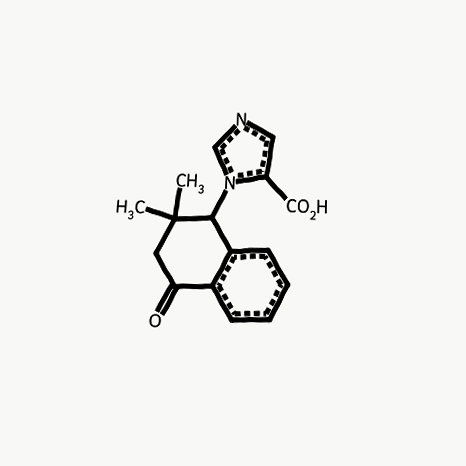 CC1(C)CC(=O)c2ccccc2C1n1cncc1C(=O)O